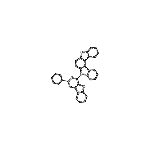 c1ccc(-c2nc(-n3c4ccccc4c4c5c(ccc43)oc3ccccc35)c3oc4ccccc4c3n2)cc1